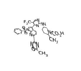 Cc1nc(-c2ccc3c(-c4nc(N[C@H]5CC[C@H](C)N(C(=O)O)C5)ncc4C(F)(F)F)cn(S(=O)(=O)c4ccccc4)c3n2)no1